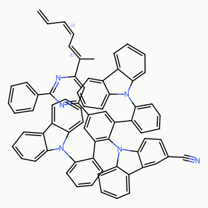 C=C/C=C\C=C(/C)c1cc(-c2cc(-c3ccccc3-n3c4ccccc4c4ccccc43)c(-n3c4ccccc4c4cc(C#N)ccc43)c(-c3ccccc3-n3c4ccccc4c4ccccc43)c2)nc(-c2ccccc2)n1